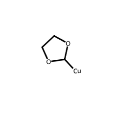 [Cu][CH]1OCCO1